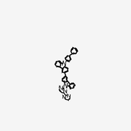 c1ccc(-c2ccc(-n3c4ccccc4c4cc(-c5ccc6c(c5)c5ccccc5n6-c5nccc(-c6ncccn6)n5)ccc43)cc2)cc1